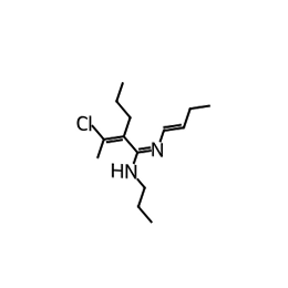 CC/C=C/N=C(NCCC)\C(CCC)=C(/C)Cl